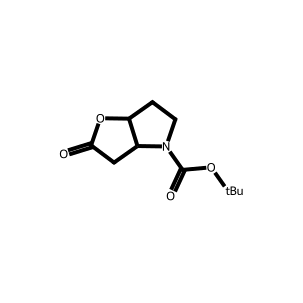 CC(C)(C)OC(=O)N1CCC2OC(=O)CC21